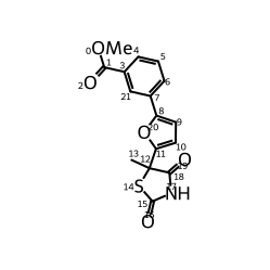 COC(=O)c1cccc(-c2ccc(C3(C)SC(=O)NC3=O)o2)c1